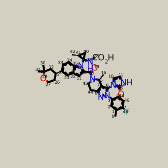 Cc1cc(-n2nc3c(c2-n2cc[nH]c2=O)[C@H](C)N(C(=O)c2cc4cc([C@H]5CCOC(C)(C)C5)ccc4n2C2(NC(=O)O)C[C@@H]2C)CC3)ccc1F